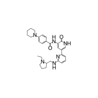 CCN1CCCC1CNc1cccc(-c2c[nH]c(=O)c(NC(=O)c3ccc(N4CCCCC4)cc3)c2)n1